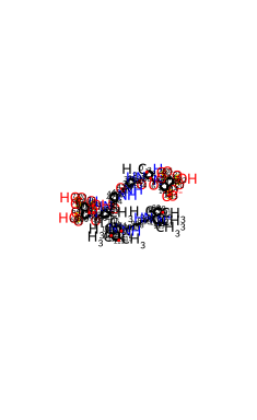 Cc1ccc(C(=O)Nc2ccc(S(=O)(=O)[O-])c3cc(S(=O)(=O)O)cc(S(=O)(=O)[O-])c23)cc1NC(=O)c1cccc(NC(=O)Nc2cccc(C(=O)Nc3cc(C(=O)Nc4ccc(S(=O)(=O)O)c5cc(S(=O)(=O)O)cc(S(=O)(=O)O)c45)ccc3C)c2)c1.Cc1ccc(C)c2c1c(NCCCCCCNc1cc(C)[n+](C)c3c(C)ccc(C)c13)cc(C)[n+]2C